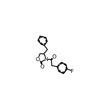 O=C(Cc1ccc(F)cc1)N1C(=O)OCC1Cc1ccccc1